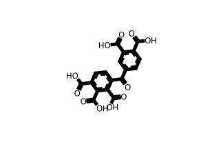 O=C(O)c1ccc(C(=O)c2ccc(C(=O)O)c(C(=O)O)c2C(=O)O)cc1C(=O)O